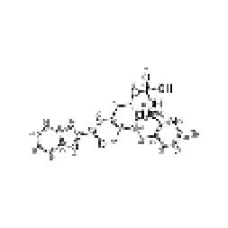 CC(=C(CCOP(=O)(O)O)SC(=O)c1cc2ccccc2o1)N(C=O)Cc1cnc(C)nc1N